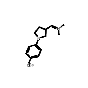 C[N+](C)=CC1CCN(c2ccc(C(C)(C)C)cc2)C1